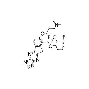 CN(C)CCCOc1ccc2c(c1COc1cccc(F)c1C(F)(F)F)Cc1nc3nonc3nc1-2